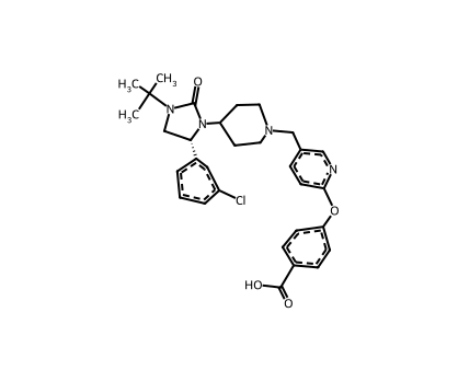 CC(C)(C)N1C[C@@H](c2cccc(Cl)c2)N(C2CCN(Cc3ccc(Oc4ccc(C(=O)O)cc4)nc3)CC2)C1=O